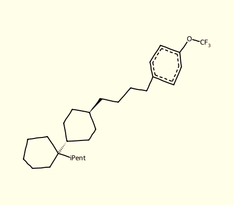 CCCC(C)C1([C@H]2CC[C@H](CCCCc3ccc(OC(F)(F)F)cc3)CC2)CCCCC1